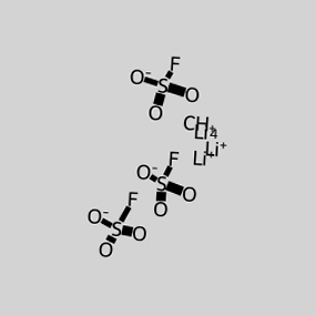 C.O=S(=O)([O-])F.O=S(=O)([O-])F.O=S(=O)([O-])F.[Li+].[Li+].[Li+]